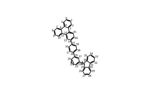 c1ccc2c(c1)c1ccccc1c1cc(-c3ccc(-c4cncc(-n5c6ccccc6c6ccccc65)c4)cc3)ccc21